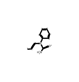 CC=CN(C(N)=O)c1ccccc1